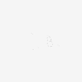 CN(C)Cc1c(OCC2CC2)ccc2c(CCC3CCN(C[C@H]4CCCC[C@H]4CO)CC3)noc12.Cl.Cl